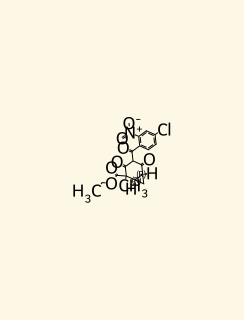 CCOC(=O)C1(C)C(=O)C(C(=O)c2ccc(Cl)cc2[N+](=O)[O-])C(=O)[C@@H]2C[C@H]21